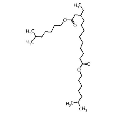 CCC(CCCCCCCCC(=O)OCCCCCC(C)C)CC(=O)OCCCCCC(C)C